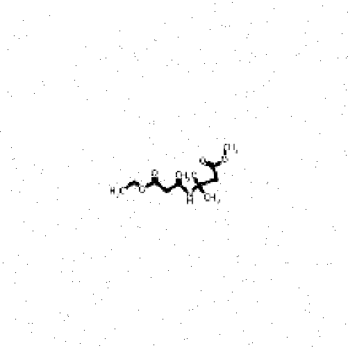 CCOC(=O)CC(=O)NC(C)(C)CC(=O)OC